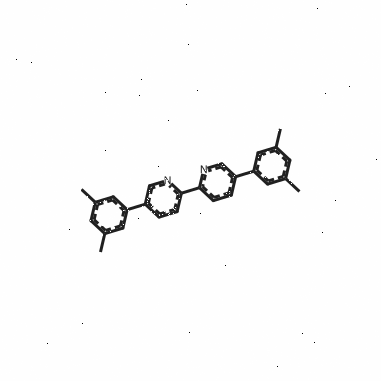 Cc1cc(C)cc(-c2ccc(-c3ccc(-c4cc(C)cc(C)c4)cn3)nc2)c1